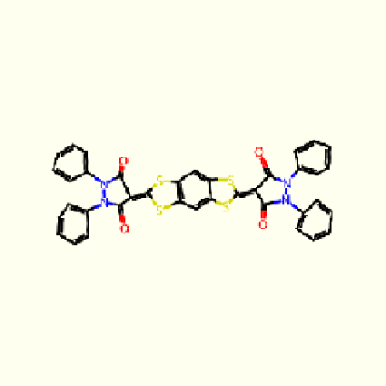 O=C1C(=C2Sc3cc4c(cc3S2)SC(=C2C(=O)N(c3ccccc3)N(c3ccccc3)C2=O)S4)C(=O)N(c2ccccc2)N1c1ccccc1